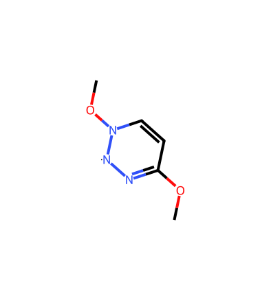 COC1=N[N]N(OC)C=C1